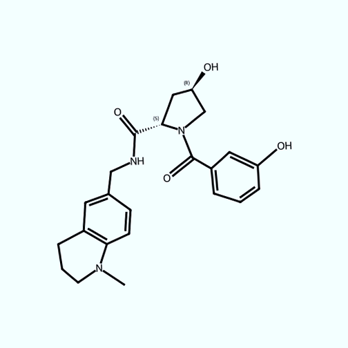 CN1CCCc2cc(CNC(=O)[C@@H]3C[C@@H](O)CN3C(=O)c3cccc(O)c3)ccc21